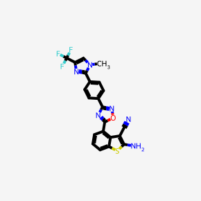 Cn1cc(C(F)(F)F)nc1-c1ccc(-c2noc(-c3cccc4sc(N)c(C#N)c34)n2)cc1